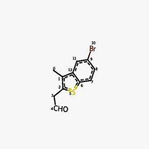 Cc1c(CC=O)sc2ccc(Br)cc12